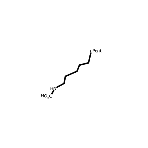 [CH2]CCCCCCCCCNC(=O)O